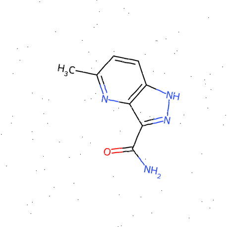 Cc1ccc2[nH]nc(C(N)=O)c2n1